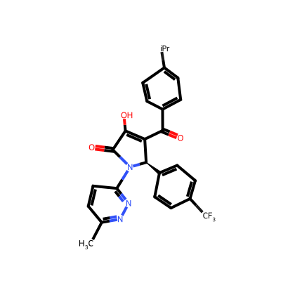 Cc1ccc(N2C(=O)C(O)=C(C(=O)c3ccc(C(C)C)cc3)[C@H]2c2ccc(C(F)(F)F)cc2)nn1